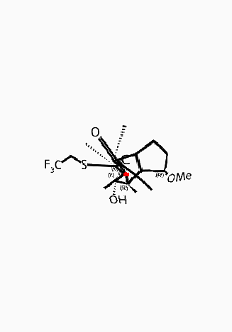 CO[C@@H]1CCC23CC[C@@H](C)[C@](C)(C12)[C@H](O)C[C@@](C)(SCC(F)(F)F)C(=O)[C@@H]3C